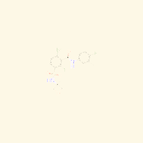 Cc1cc(NC(=O)c2c(Br)ccc(S(=O)(=O)NC3(C)COC3)c2F)ccc1F